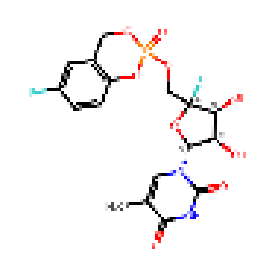 Cc1cn([C@@H]2O[C@](F)(COP3(=O)OCc4cc(F)ccc4O3)[C@@H](O)[C@H]2O)c(=O)[nH]c1=O